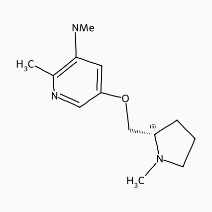 CNc1cc(OC[C@@H]2CCCN2C)cnc1C